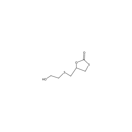 O=C1OC(CSCCO)CS1